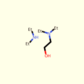 CCN(CC)CCO.CCNCC